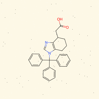 O=C(O)CC1CCCc2c1ncn2C(c1ccccc1)(c1ccccc1)c1ccccc1